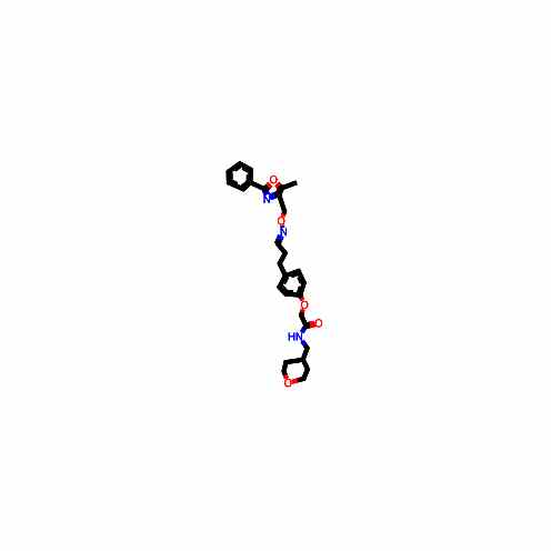 Cc1oc(-c2ccccc2)nc1CON=CCCc1ccc(OCC(=O)NCC2CCOCC2)cc1